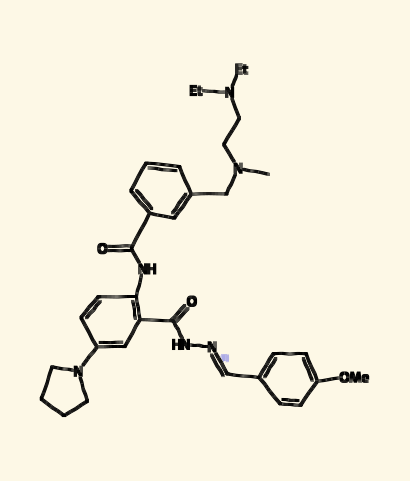 CCN(CC)CCN(C)Cc1cccc(C(=O)Nc2ccc(N3CCCC3)cc2C(=O)N/N=C/c2ccc(OC)cc2)c1